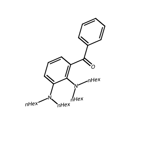 CCCCCCN(CCCCCC)c1cccc(C(=O)c2ccccc2)c1N(CCCCCC)CCCCCC